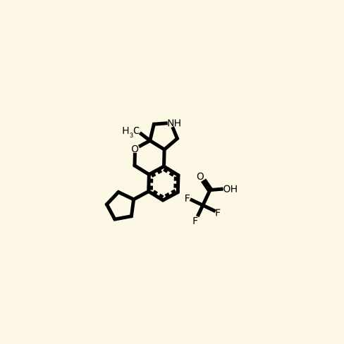 CC12CNCC1c1cccc(C3CCCC3)c1CO2.O=C(O)C(F)(F)F